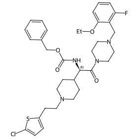 CCOc1cccc(F)c1CN1CCN(C(=O)[C@H](NC(=O)OCc2ccccc2)C2CCN(CCc3ccc(Cl)s3)CC2)CC1